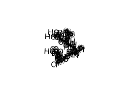 CC[C@@]1(O)C(=O)OCc2c1cc1n(c2=O)Cc2c-1nc1cc(Cl)cc3c1c2[C@@H](NC(=O)COCNC(=O)CNC(=O)[C@H](Cc1ccccc1)NC(=O)CNC(=O)CNC(=O)[C@H](CCC(=O)NC[C@@H]1O[C@H](CO)[C@@H](O)[C@H](O)[C@H]1O)NC(=O)OCC1c2ccccc2-c2ccccc21)CC3